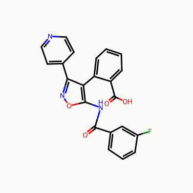 O=C(Nc1onc(-c2ccncc2)c1-c1ccccc1C(=O)O)c1cccc(F)c1